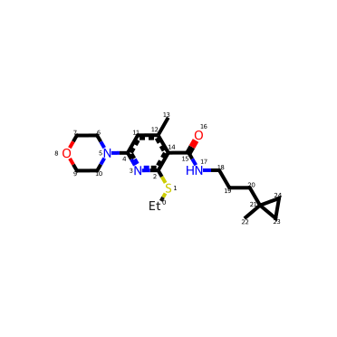 CCSc1nc(N2CCOCC2)cc(C)c1C(=O)NCCCC1(C)CC1